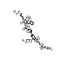 CCCCCC(C(=O)NCNC(=O)c1ccc(-c2cc(OCC)cc(C(=O)NCCOC(N)=O)c2)o1)[C@@H](CC)N(C=O)OCc1ccccc1